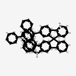 c1ccc(-c2c3ccccc3c(-c3ccc4c(c3)C3(c5ccccc5-c5cc6sc7ccc8ncccc8c7c6cc53)c3cccnc3-4)c3ccccc23)cc1